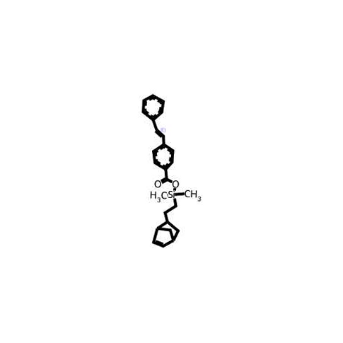 C[Si](C)(CCC1CC2C=CC1C2)OC(=O)c1ccc(/C=C/c2ccccc2)cc1